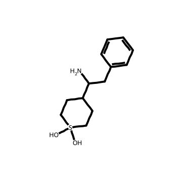 NC(Cc1ccccc1)C1CCS(O)(O)CC1